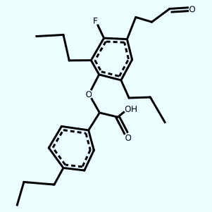 CCCc1ccc(C(Oc2c(CCC)cc(CCC=O)c(F)c2CCC)C(=O)O)cc1